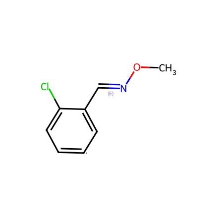 CO/N=C/c1c[c]ccc1Cl